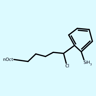 CCCCCCCCCCCCC(Cl)c1ccccc1[SiH3]